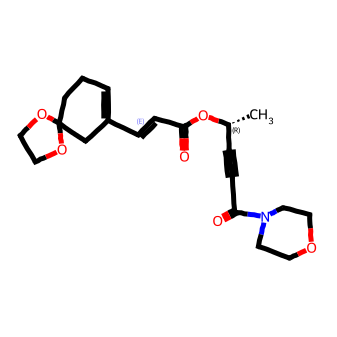 C[C@H](C#CC(=O)N1CCOCC1)OC(=O)/C=C/C1=CCCC2(C1)OCCO2